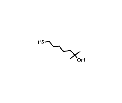 CC(C)(O)CCCCCS